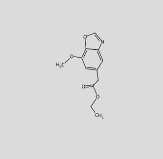 CCOC(=O)Cc1cc(OC)c2ocnc2c1